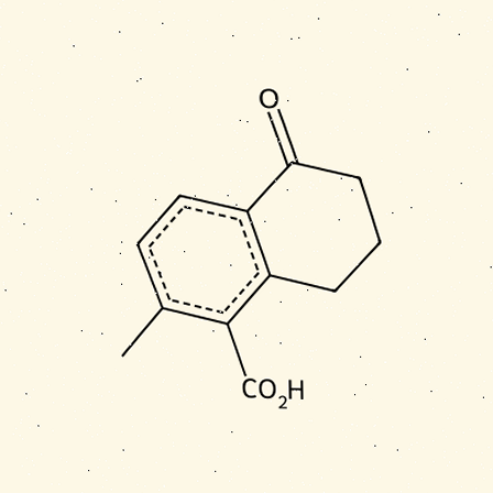 Cc1ccc2c(c1C(=O)O)CCCC2=O